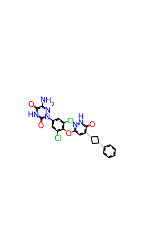 Nc1nn(-c2cc(Cl)c(Oc3cc([C@H]4C[C@@H](c5ccccc5)C4)c(=O)[nH]n3)c(Cl)c2)c(=O)[nH]c1=O